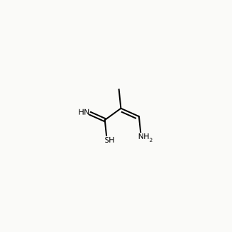 C/C(=C/N)C(=N)S